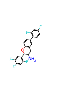 NC1Cc2cc(-c3ccc(F)cc3F)ccc2OC1c1cc(F)c(F)cc1F